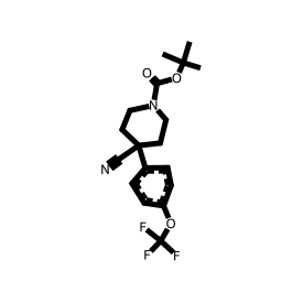 CC(C)(C)OC(=O)N1CCC(C#N)(c2ccc(OC(F)(F)F)cc2)CC1